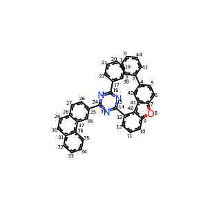 c1ccc(-c2ccc3oc4cccc(-c5nc(-c6ccccc6)nc(-c6ccc7ccc8ccccc8c7c6)n5)c4c3c2)cc1